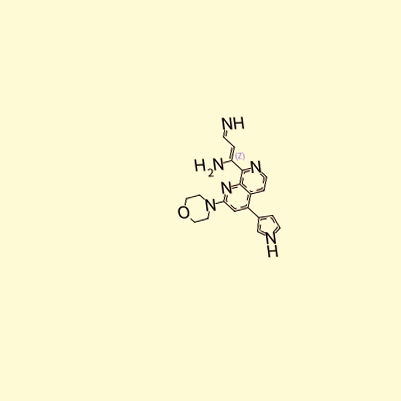 N=C/C=C(\N)c1nccc2c(-c3cc[nH]c3)cc(N3CCOCC3)nc12